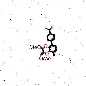 CO/C=C(\Oc1cc(C2=CCC(C(F)F)CC2)ccc1C)C(=O)OC